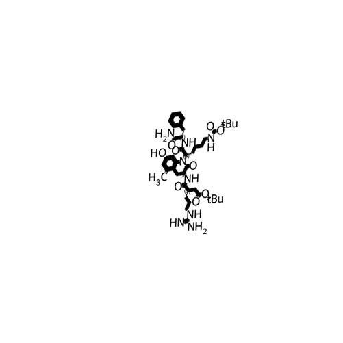 Cc1cc(O)cc2c1C[C@H](NC(=O)[C@@H](CCCNC(=N)N)CC(=O)OC(C)(C)C)C(=O)N2[C@@H](CCCCNC(=O)OC(C)(C)C)C(=O)N[C@@H](Cc1ccccc1)C(N)=O